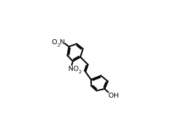 O=[N+]([O-])c1ccc(C=Cc2ccc(O)cc2)c([N+](=O)[O-])c1